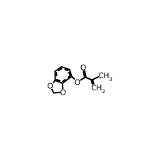 C=C(C)C(=O)Oc1cccc2c1OCO2